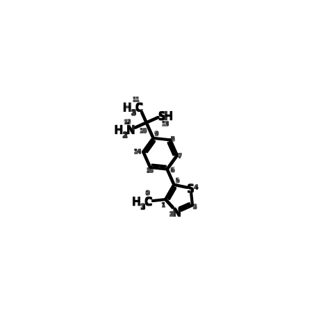 Cc1ncsc1-c1ccc(C(C)(N)S)cc1